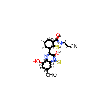 N#CCCn1sc2c(-c3nc4c(O)cc(C=O)cc4n(S)c3=O)cccc2c1=O